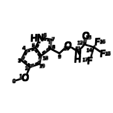 COc1ccc2[nH]cc(CONC(=O)C(F)(F)F)c2c1